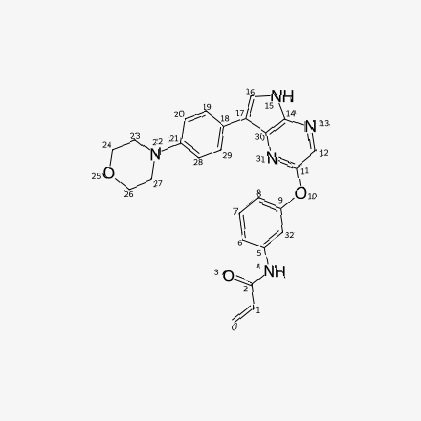 C=CC(=O)Nc1cccc(Oc2cnc3[nH]cc(-c4ccc(N5CCOCC5)cc4)c3n2)c1